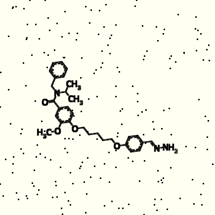 COc1cc(C(=O)N(Cc2ccccc2)C(C)C)ccc1OCCCCCOc1ccc(C=NN)cc1